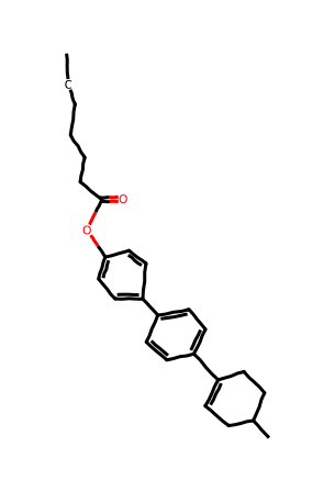 CCCCCCC(=O)Oc1ccc(-c2ccc(C3=CCC(C)CC3)cc2)cc1